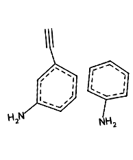 C#Cc1cccc(N)c1.Nc1ccccc1